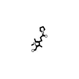 Cc1c(CCC(=O)N2CCCC2)c(C)n(C)c1C=O